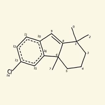 CC1(C)CCCC2(C)C1=Cc1ccc(Cl)cc12